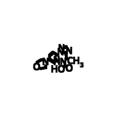 C[C@H](NC(=O)O)c1ncnn1-c1ccc(N2CCOCC2)cn1